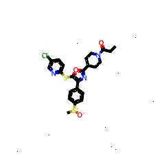 CCC(=O)N1CCC(c2nc(-c3ccc([S+](C)[O-])cc3)c(Sc3ccc(Cl)cn3)o2)CC1